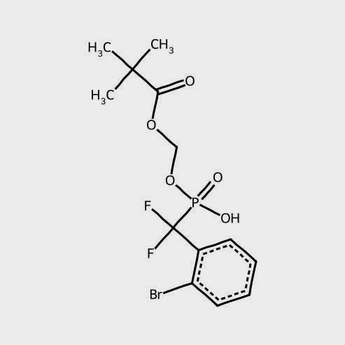 CC(C)(C)C(=O)OCOP(=O)(O)C(F)(F)c1ccccc1Br